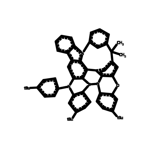 CC(C)(C)c1ccc(N2c3cc(C(C)(C)C)ccc3B3c4c2cc2c5ccccc5n5c2c4-c2cc(cc4c2N3c2ccc(C(C)(C)C)cc2O4)C(C)(C)c2cccc-5c2)cc1